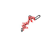 OC(COCC(COCC(O)COC1COCC(OC2CCCCC2)COC1)OC1CCCCCCC1)COC1CCCCCC1